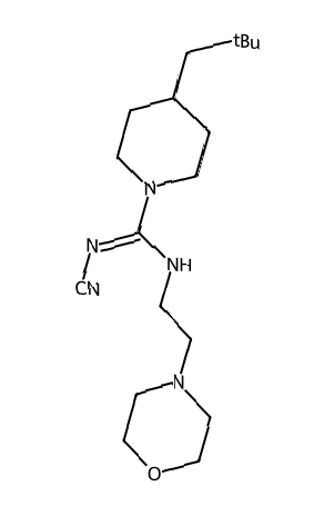 CC(C)(C)CC1CCN(/C(=N/C#N)NCCN2CCOCC2)CC1